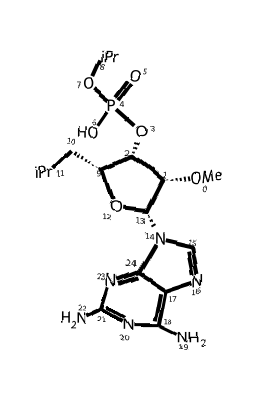 CO[C@H]1[C@@H](OP(=O)(O)OC(C)C)[C@@H](CC(C)C)O[C@H]1n1cnc2c(N)nc(N)nc21